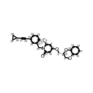 Cc1cc(OC[C@H]2COc3ccccc3O2)cc(=O)n1Cc1cccc(C#CC2CC2)c1